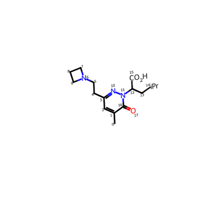 Cc1cc(CCN2CCC2)nn(C(CC(C)C)C(=O)O)c1=O